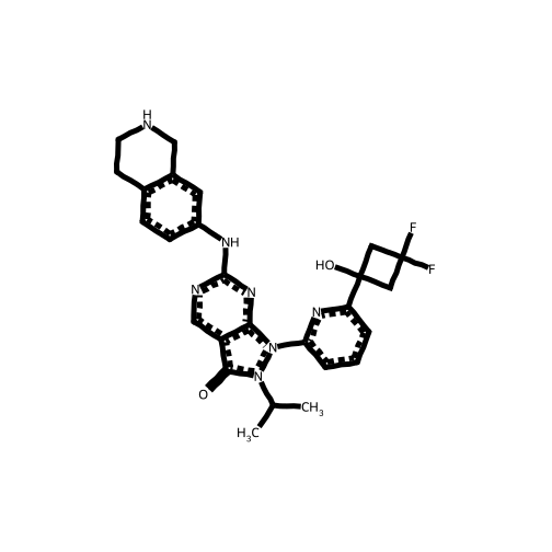 CC(C)n1c(=O)c2cnc(Nc3ccc4c(c3)CNCC4)nc2n1-c1cccc(C2(O)CC(F)(F)C2)n1